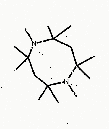 CN1C(C)(C)CC(C)(C)N(C)C(C)(C)CC1(C)C